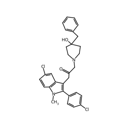 Cn1c(-c2ccc(Cl)cc2)c(CC(=O)CN2CCC(O)(Cc3ccccc3)CC2)c2cc(Cl)ccc21